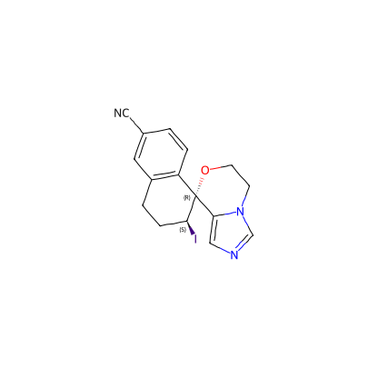 N#Cc1ccc2c(c1)CC[C@H](I)[C@@]21OCCn2cncc21